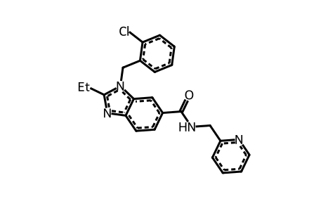 CCc1nc2ccc(C(=O)NCc3ccccn3)cc2n1Cc1ccccc1Cl